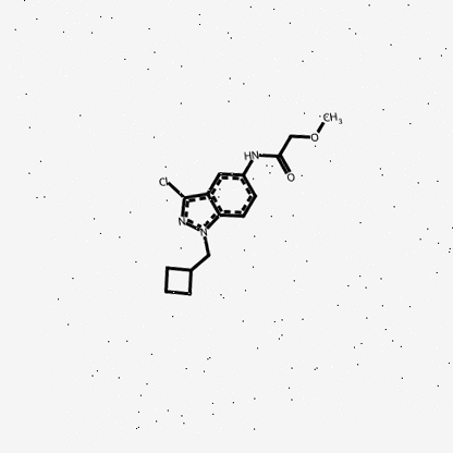 COCC(=O)Nc1ccc2c(c1)c(Cl)nn2CC1CCC1